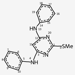 CSc1nc(Nc2ccccc2)cc(Nc2ccccc2)n1